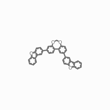 c1ccc2c(c1)oc1ccc(-c3ccc4c(c3)OCOc3ccc(-c5ccc6oc7ccccc7c6c5)cc3-4)cc12